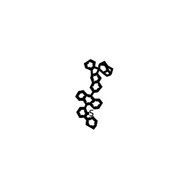 c1ccc2c(c1)-c1cc3cc(-c4c5ccccc5c(-c5cccc6c5sc5ccccc56)c5ccccc45)ccc3cc1C21C2CC3CC(C2)CC1C3